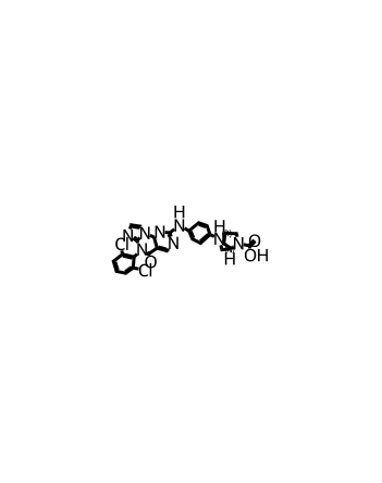 O=C(O)N1C[C@H]2C[C@@H]1CN2c1ccc(Nc2ncc3c(=O)n(-c4c(Cl)cccc4Cl)c4nccn4c3n2)cc1